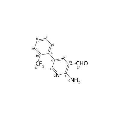 Nc1ncc(-c2ccccc2C(F)(F)F)cc1C=O